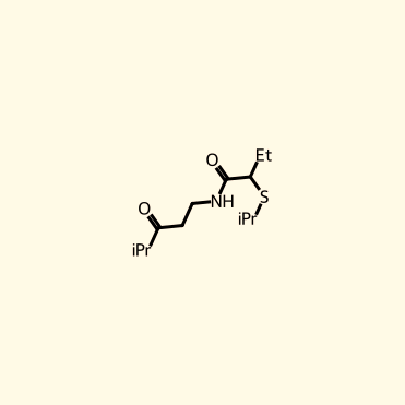 CCC(SC(C)C)C(=O)NCCC(=O)C(C)C